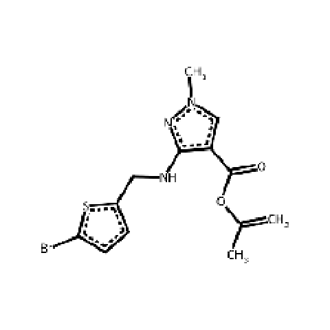 C=C(C)OC(=O)c1cn(C)nc1NCc1ccc(Br)s1